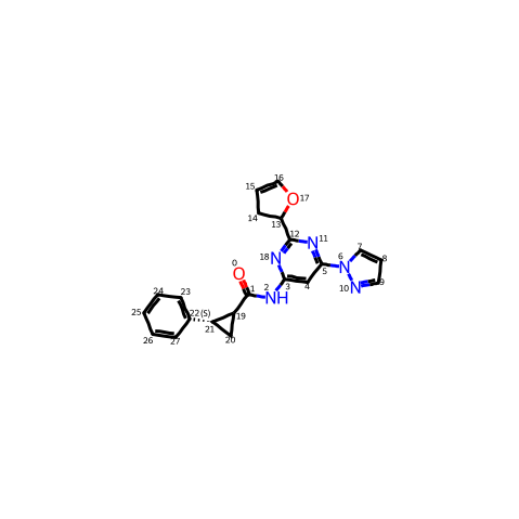 O=C(Nc1cc(-n2cccn2)nc(C2CC=CO2)n1)C1C[C@@H]1c1ccccc1